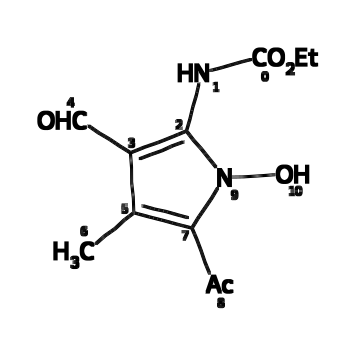 CCOC(=O)Nc1c(C=O)c(C)c(C(C)=O)n1O